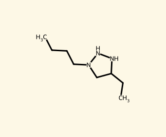 CCCCN1CC(CC)NN1